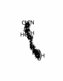 CC1(C)[C@H](NC(O)c2ccc(CCCCN3CCN(c4cnn(C5CCC(=O)NC5=O)c(=O)c4)CC3)nc2)C(C)(C)[C@H]1Oc1ccc(C#N)c(Cl)c1